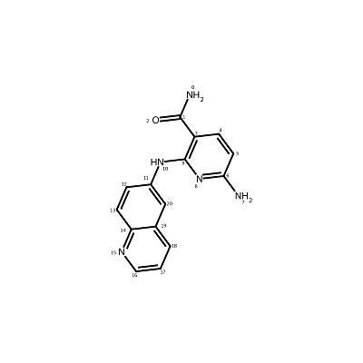 NC(=O)c1ccc(N)nc1Nc1ccc2ncccc2c1